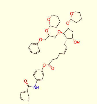 O=C(CCC/C=C\C[C@@H]1[C@@H](OCC(COc2ccccc2)OC2CCCCO2)[C@H](OC2CCCCO2)C[C@@H]1O)Oc1ccc(NC(=O)c2ccccc2)cc1